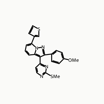 COc1ccc(-c2nn3c(-c4ccsc4)cccc3c2-c2ccnc(SC)n2)cc1